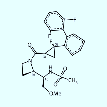 COC[C@H](NS(C)(=O)=O)[C@H]1CCN1C(=O)[C@@H]1C[C@@]1(F)c1ccccc1-c1c(F)cccc1F